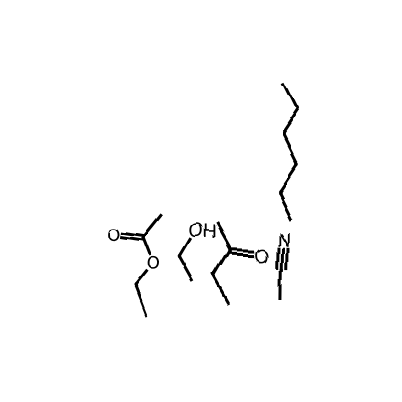 CC#N.CCC(C)=O.CCCCCC.CCO.CCOC(C)=O